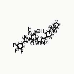 CO[C@@H]1[C@@H](n2cc(-c3cc(F)c(F)c(F)c3)nn2)[C@@H](O)[C@@H](CO)O[C@@H]1Cc1cc(C2CCN(S(=O)(=O)N3CCCC3)CC2)on1